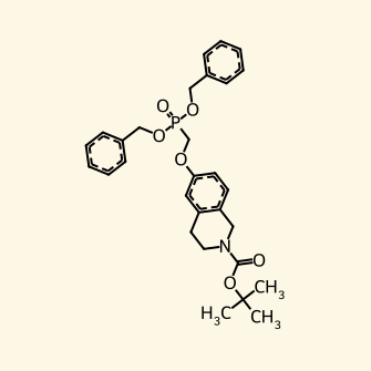 CC(C)(C)OC(=O)N1CCc2cc(OCP(=O)(OCc3ccccc3)OCc3ccccc3)ccc2C1